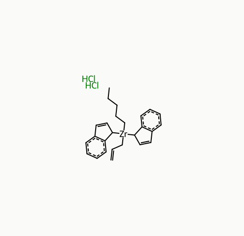 C=C[CH2][Zr]([CH2]CCCC)([CH]1C=Cc2ccccc21)[CH]1C=Cc2ccccc21.Cl.Cl